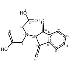 O=C(O)CN(CC(=O)O)N1C(=O)c2ccccc2C1=O